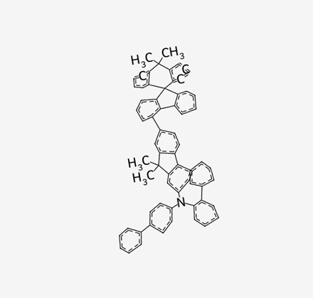 CC1(C)c2cc(-c3cccc4c3-c3ccccc3C43c4ccccc4C(C)(C)c4ccccc43)ccc2-c2ccc(N(c3ccc(-c4ccccc4)cc3)c3ccccc3-c3ccccc3)cc21